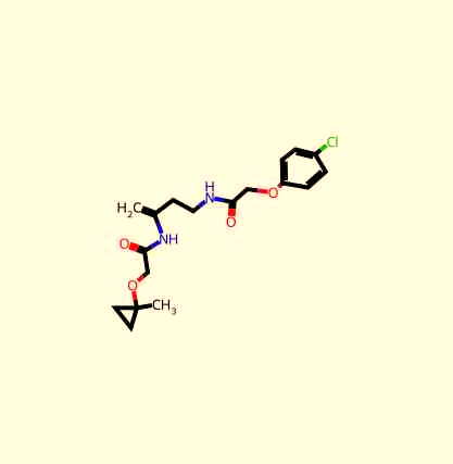 C=C(CCNC(=O)COc1ccc(Cl)cc1)NC(=O)COC1(C)CC1